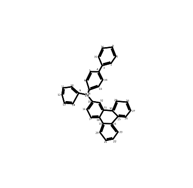 c1ccc(-c2ccc(N(c3ccccc3)c3ccc4c5ccccc5c5ccccc5c4c3)cc2)cc1